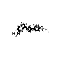 COc1ccc(-c2cnn(-c3cnn4ccc(N)nc34)c2)cn1